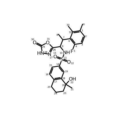 Cc1ccc(F)c(C(C)C(NS(=O)(=O)c2ccc3c(c2)C(C)(O)CCC3)c2n[nH]c(=O)o2)c1C